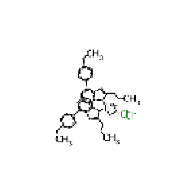 CCCC1=Cc2c(-c3ccc(CC)cc3)cccc2[CH]1[Ti+2]1([CH]2C(CCC)=Cc3c(-c4ccc(CC)cc4)cccc32)[CH2]C[CH2]1.[Cl-].[Cl-]